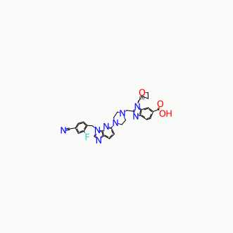 N#Cc1ccc(Cn2cnc3ccc(N4CCN(Cc5nc6ccc(C(=O)O)cc6n5C[C@@H]5CCO5)CC4)nc32)c(F)c1